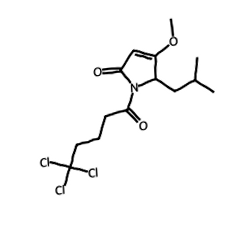 COC1=CC(=O)N(C(=O)CCCC(Cl)(Cl)Cl)C1CC(C)C